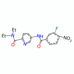 CCN(CC)C(=O)c1ccc(NC(=O)c2ccc([N+](=O)[O-])c(F)c2)cn1